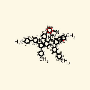 Cc1ccc(-c2ccc3c(c2)c2cc(-c4ccc(C)cc4)ccc2n3-c2ccc(-c3cccc(C#N)c3)cc2-c2cccc(-n3c4ccc(-c5ccc(C)cc5)cc4c4cc(-c5ccc(C)cc5)ccc43)c2-c2nc(-c3ccccc3)nc(-c3ccccc3)n2)cc1